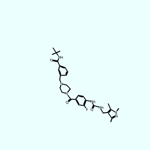 Cc1nn(C)c(C)c1CNC(=O)Nc1ccc(C(=O)N2CCN(Cc3cccc(C(=O)NC(C)(C)C)c3)CC2)cc1F